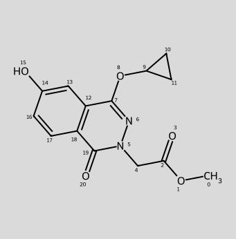 COC(=O)Cn1nc(OC2CC2)c2cc(O)ccc2c1=O